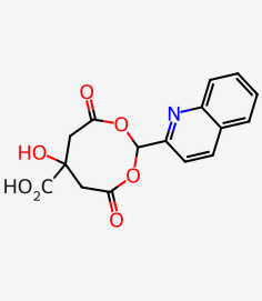 O=C1CC(O)(C(=O)O)CC(=O)OC(c2ccc3ccccc3n2)O1